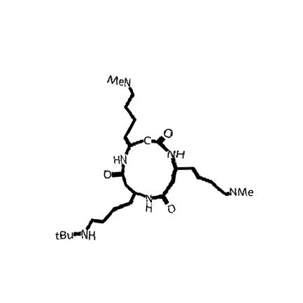 CNCCCCC1CC(=O)NC(CCCCNC)CC(=O)NC(CCCCNC(C)(C)C)CC(=O)N1